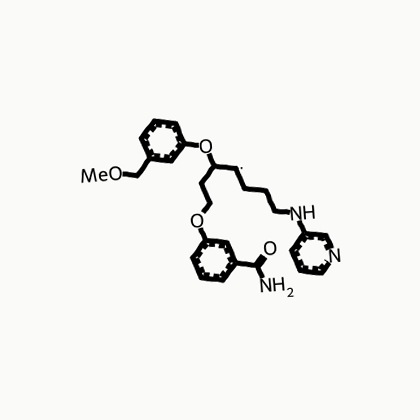 COCc1cccc(OC([CH]CCCNc2cccnc2)CCOc2cccc(C(N)=O)c2)c1